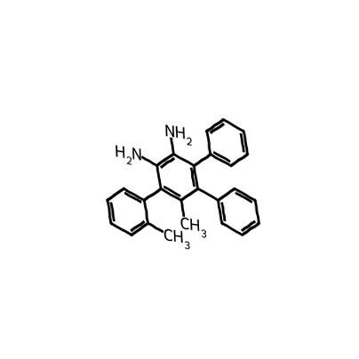 Cc1ccccc1-c1c(C)c(-c2ccccc2)c(-c2ccccc2)c(N)c1N